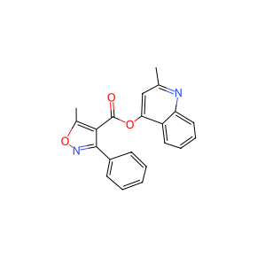 Cc1cc(OC(=O)c2c(-c3ccccc3)noc2C)c2ccccc2n1